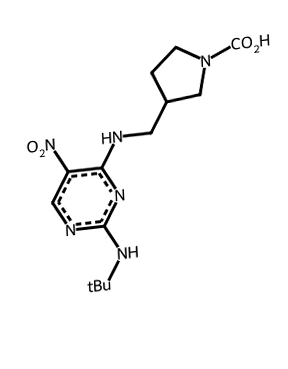 CC(C)(C)Nc1ncc([N+](=O)[O-])c(NCC2CCN(C(=O)O)C2)n1